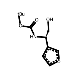 CC(C)(C)OC(=O)N[C@@H](CO)c1ccsc1